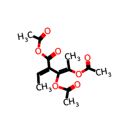 C/C=C(C(=O)OC(C)=O)\C(OC(C)=O)=C(/C)OC(C)=O